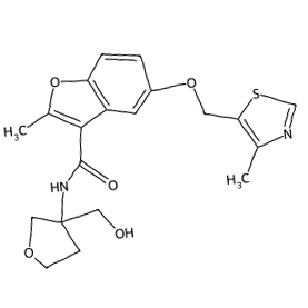 Cc1ncsc1COc1ccc2oc(C)c(C(=O)NC3(CO)CCOC3)c2c1